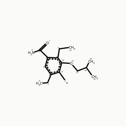 CCc1cc(C(N)=O)c(CC)c(OCC(C)C)c1I